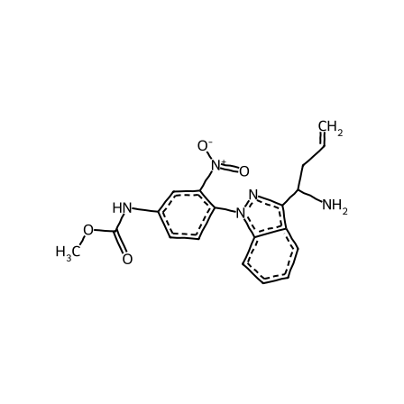 C=CCC(N)c1nn(-c2ccc(NC(=O)OC)cc2[N+](=O)[O-])c2ccccc12